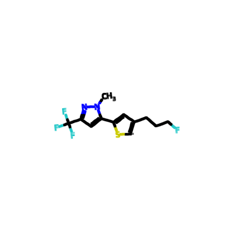 Cn1nc(C(F)(F)F)cc1-c1cc(CCCF)[c]s1